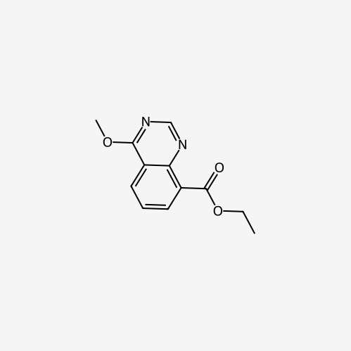 CCOC(=O)c1cccc2c(OC)ncnc12